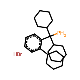 Br.PC(c1ccccc1C1CCCCC1)(C1CCCCC1)C1CCCCC1